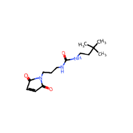 CC(C)(C)CCNC(=O)NCCCN1C(=O)C=CC1=O